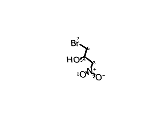 O=[N+]([O-])CC(O)CBr